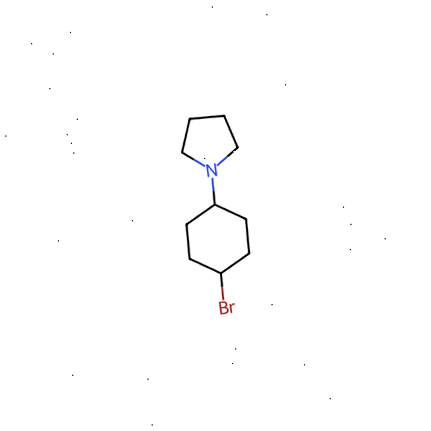 BrC1CCC(N2CCCC2)CC1